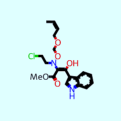 C/C=C\COCON(CCCl)/C(C(=O)OC)=C(\O)c1c[nH]c2ccccc12